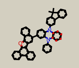 CC1(C)c2ccccc2-c2cc(N(c3ccccc3)c3ccc(-c4cc5c(oc6c7ccccc7c7ccccc7c56)c5ccccc45)cc3N(c3ccccc3)c3ccccc3)ccc21